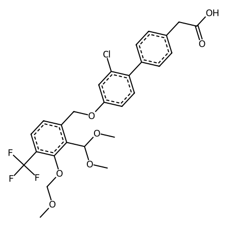 COCOc1c(C(F)(F)F)ccc(COc2ccc(-c3ccc(CC(=O)O)cc3)c(Cl)c2)c1C(OC)OC